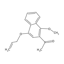 C=CCOc1cc(C(C)=O)c(OC)c2ccccc12